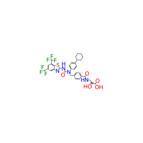 O=C(NC[C@@H](O)C(=O)O)c1ccc(CN(C(=O)Nc2nc3cc(C(F)(F)F)cc(C(F)(F)F)c3s2)c2ccc(C3CCCCC3)cc2)cc1